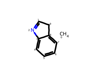 C.C1=Nc2ccccc2C1